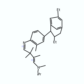 CCc1cc2cc(c1)C(c1ccc(/N=C\C(C)(C)/C(C)=C/N(C)C(C)C)c(C)c1)C(CC)C2